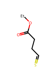 CCOC(=O)CCC=S